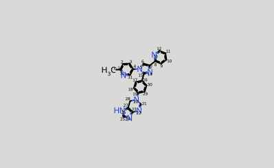 Cc1ccc(-n2cc(-c3ccccn3)nc2-c2ccc(N3C=Nc4nc[nH]c4C3)cc2)cn1